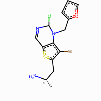 C[C@H](N)Cc1sc2c(c1Br)N(Cc1ccco1)C(Cl)N=C2